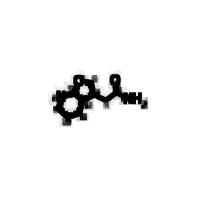 NC(=O)Cc1coc2ncccc12